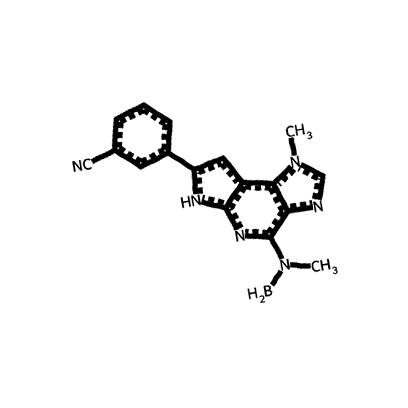 BN(C)c1nc2[nH]c(-c3cccc(C#N)c3)cc2c2c1ncn2C